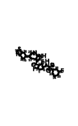 O=C(c1c(F)ccc(NS(=O)(=O)c2cccc(F)c2)c1F)c1c[nH]c2ncc(-c3ccc4ncsc4c3)cc12